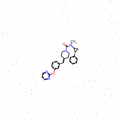 CN(C(=O)N1CCC(=Cc2cccc(Oc3ncccn3)c2)CC1)C1C[C@H]1c1ccccc1